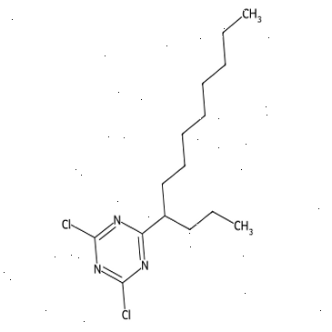 CCCCCCCCC(CCC)c1nc(Cl)nc(Cl)n1